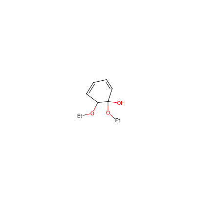 CCOC1C=CC=CC1(O)OCC